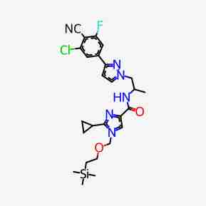 CC(Cn1ccc(-c2cc(F)c(C#N)c(Cl)c2)n1)NC(=O)c1cn(COCC[Si](C)(C)C)c(C2CC2)n1